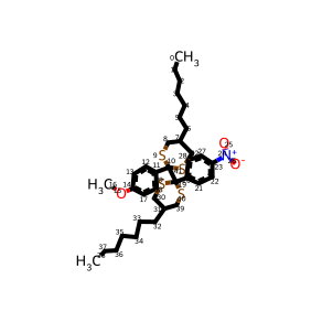 CCCCCCCC1CSC(c2ccc(OC)cc2)(C2(c3ccc([N+](=O)[O-])cc3)SCC(CCCCCCC)CS2)SC1